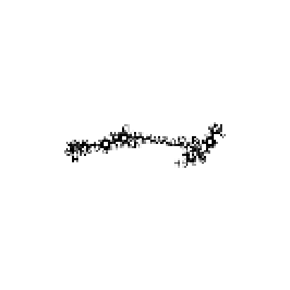 Cc1ncsc1-c1ccc(CNC(=O)[C@@H]2C[C@H](O)CN2C(=O)[C@@H](NC(=O)COCCCOCCCCCOc2c(Cl)cc(C(C)(C)c3ccc(OCc4cnc(NS(C)(=O)=O)nc4)cc3)cc2C#N)C(C)(C)C)cc1